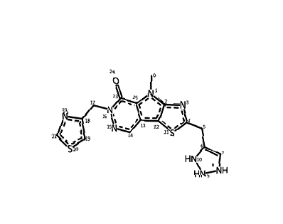 Cn1c2nc(CC3=CNNN3)sc2c2cnn(Cc3cscn3)c(=O)c21